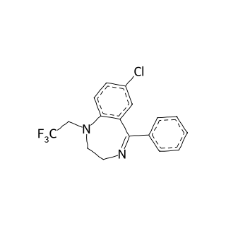 FC(F)(F)CN1CCN=C(c2ccccc2)c2cc(Cl)ccc21